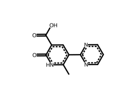 Cc1[nH]c(=O)c(C(=O)O)cc1-c1ncccn1